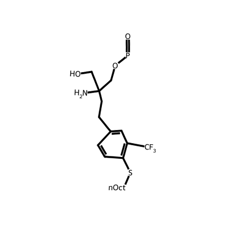 CCCCCCCCSc1ccc(CCC(N)(CO)COP=O)cc1C(F)(F)F